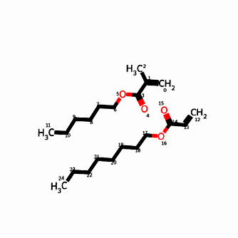 C=C(C)C(=O)OCCCCCC.C=CC(=O)OCCCCCCCC